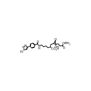 CCn1cc(-c2ccc(C(=O)NCCCCC(CC3C(=O)C3(O)CCC(=O)ON)C(=O)O)cc2)nn1